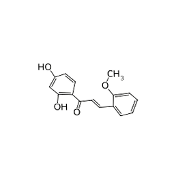 COc1ccccc1C=CC(=O)c1ccc(O)cc1O